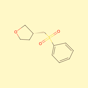 O=S(=O)(C[C@@H]1CCOC1)c1ccccc1